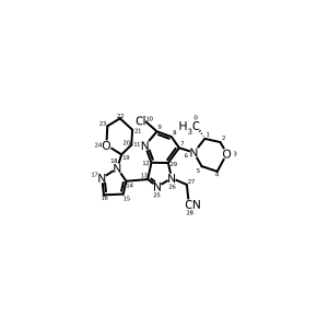 C[C@@H]1COCCN1c1cc(Cl)nc2c(-c3ccnn3C3CCCCO3)nn(CC#N)c12